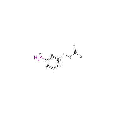 C=C(C)CCc1cccc(P)c1